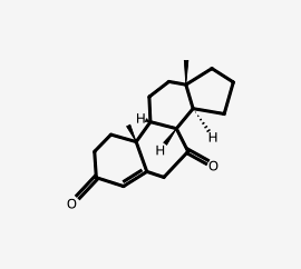 C[C@@]12CCC[C@H]1[C@@H]1C(=O)CC3=CC(=O)CC[C@]3(C)[C@H]1CC2